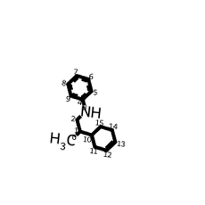 CC(CNc1ccccc1)C1CC=CCC1